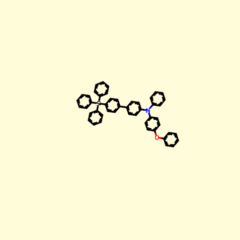 c1ccc(Oc2ccc(N(c3ccccc3)c3ccc(-c4ccc([Si](c5ccccc5)(c5ccccc5)c5ccccc5)cc4)cc3)cc2)cc1